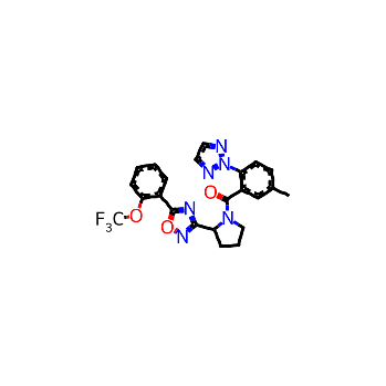 Cc1ccc(-n2nccn2)c(C(=O)N2CCCC2c2noc(-c3ccccc3OC(F)(F)F)n2)c1